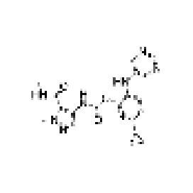 CNC(=O)c1c(NC(=O)Oc2nc(C3CC3)ccc2Nc2cncnc2)cnn1C